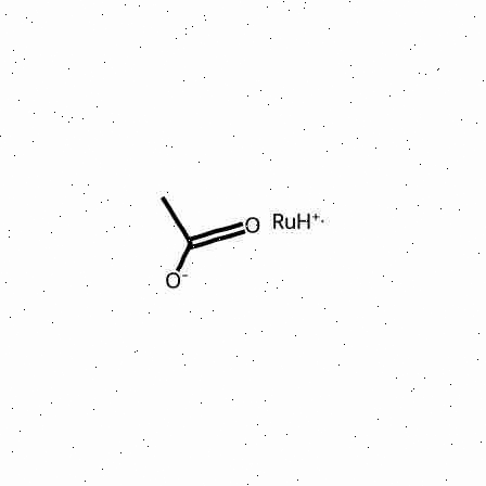 CC(=O)[O-].[RuH+]